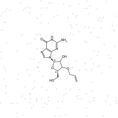 C=CCOC1C(O)[C@H](n2cnc3c(=O)[nH]c(N)nc32)O[C@@H]1CO